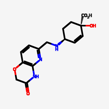 O=C1COc2ccc(CN[C@@H]3C=C[C@@](O)(C(=O)O)CC3)nc2N1